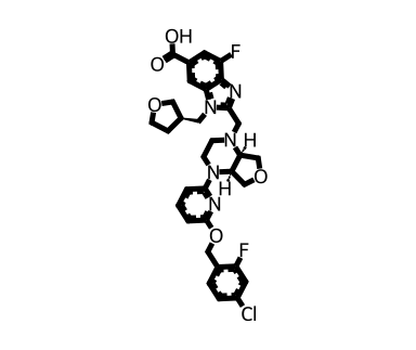 O=C(O)c1cc(F)c2nc(CN3CCN(c4cccc(OCc5ccc(Cl)cc5F)n4)[C@@H]4COC[C@@H]43)n(C[C@H]3CCOC3)c2c1